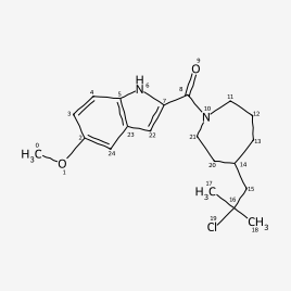 COc1ccc2[nH]c(C(=O)N3CCCC(CC(C)(C)Cl)CC3)cc2c1